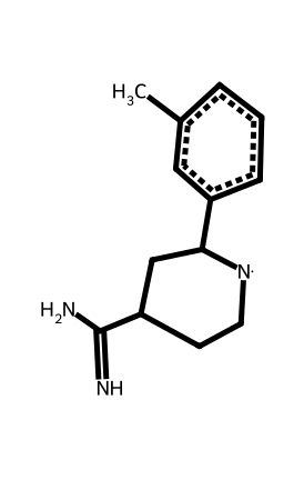 Cc1cccc(C2CC(C(=N)N)CC[N]2)c1